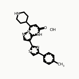 Cc1ccc(-c2csc(-c3cnn4c(C5CCNCC5)cc(=O)[nH]c34)n2)cc1.Cl